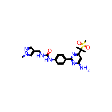 Cn1cc(CNC(=O)Nc2ccc(-c3nc(N)cc(C(C)(C)S(C)(=O)=O)n3)cc2)cn1